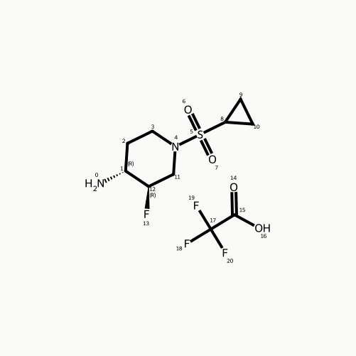 N[C@@H]1CCN(S(=O)(=O)C2CC2)C[C@H]1F.O=C(O)C(F)(F)F